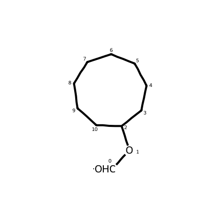 O=[C]OC1CCCCCCCC1